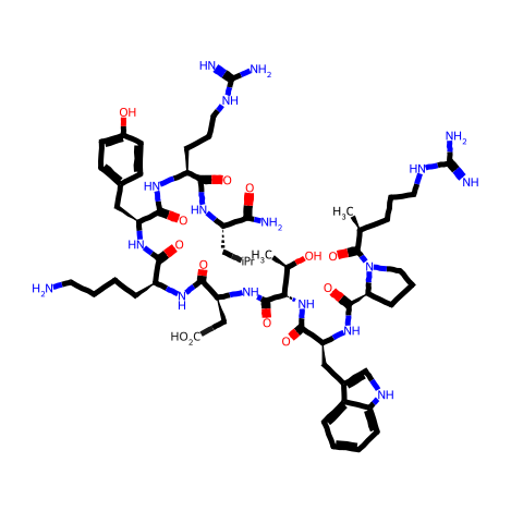 CC(C)C[C@H](NC(=O)[C@H](CCCNC(=N)N)NC(=O)[C@H](Cc1ccc(O)cc1)NC(=O)[C@H](CCCCN)NC(=O)[C@H](CC(=O)O)NC(=O)[C@@H](NC(=O)[C@H](Cc1c[nH]c2ccccc12)NC(=O)[C@@H]1CCCN1C(=O)[C@@H](C)CCCNC(=N)N)[C@@H](C)O)C(N)=O